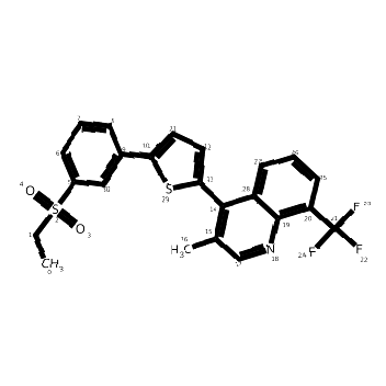 CCS(=O)(=O)c1cccc(-c2ccc(-c3c(C)cnc4c(C(F)(F)F)cccc34)s2)c1